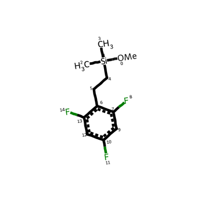 CO[Si](C)(C)CCc1c(F)cc(F)cc1F